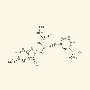 COC(=O)c1cc(C#C[C@H](CN2Cc3ccc(OC)cc3C2=O)NC(=O)NC=O)ccn1